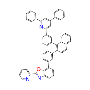 c1ccc(-c2cc(-c3ccccc3)nc(-c3cccc(-c4c(-c5cccc(-c6cccc7nc(-c8ccccn8)oc67)c5)ccc5ccccc45)c3)c2)cc1